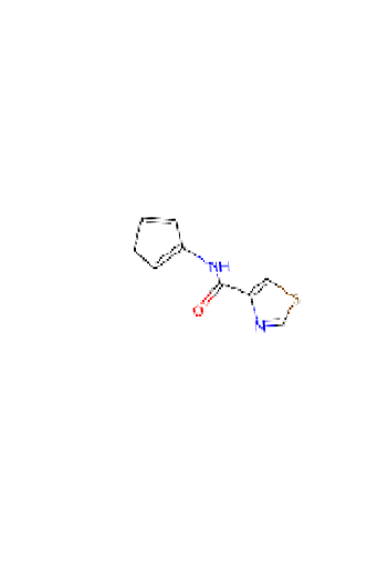 O=C(NC1=CCC=C1)c1cscn1